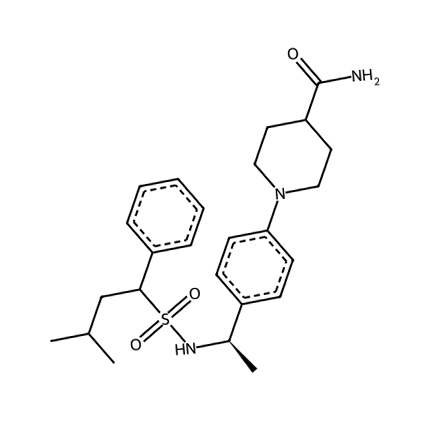 CC(C)CC(c1ccccc1)S(=O)(=O)N[C@H](C)c1ccc(N2CCC(C(N)=O)CC2)cc1